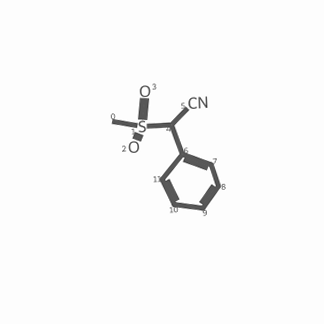 CS(=O)(=O)C(C#N)c1ccccc1